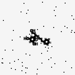 OCCC(CNCCc1ccccc1)c1cc(O)cc(O)c1